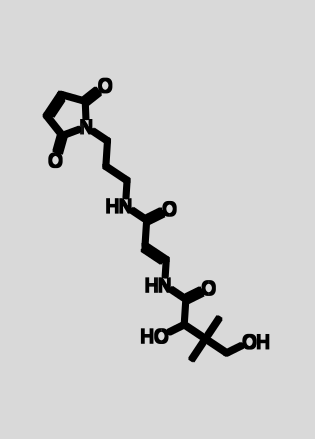 CC(C)(CO)C(O)C(=O)NC=CC(=O)NCCCN1C(=O)C=CC1=O